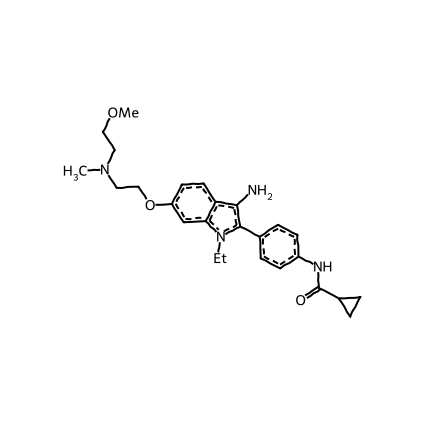 CCn1c(-c2ccc(NC(=O)C3CC3)cc2)c(N)c2ccc(OCCN(C)CCOC)cc21